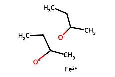 CCC(C)[O-].CCC(C)[O-].[Fe+2]